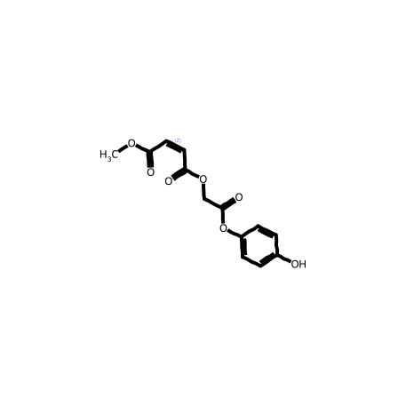 COC(=O)/C=C\C(=O)OCC(=O)Oc1ccc(O)cc1